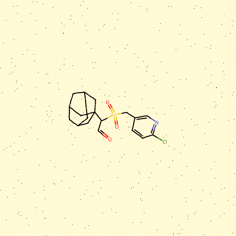 O=CC(C12CC3CC(CC(C3)C1)C2)S(=O)(=O)Cc1ccc(Cl)nc1